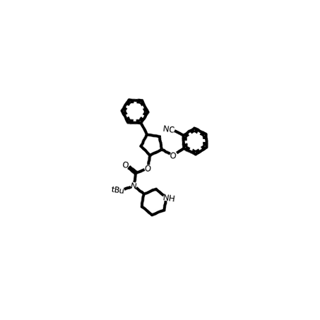 CC(C)(C)N(C(=O)OC1CC(c2ccccc2)CC1Oc1ccccc1C#N)C1CCCNC1